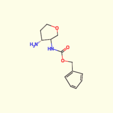 N[C@@H]1CCOCC1NC(=O)OCc1ccccc1